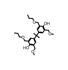 CCCOCc1cc(C(C)(C)c2cc(COC)c(O)c(COCCC)c2)cc(COC)c1O